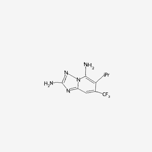 CC(C)c1c(C(F)(F)F)cc2nc(N)nn2c1N